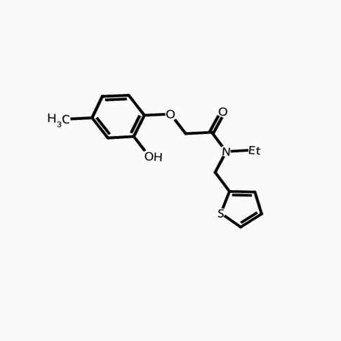 CCN(Cc1cccs1)C(=O)COc1ccc(C)cc1O